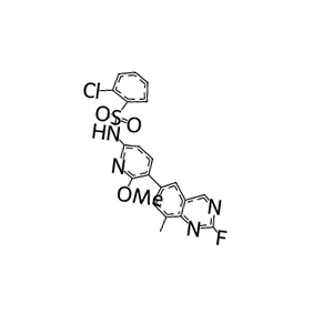 COc1nc(NS(=O)(=O)c2ccccc2Cl)ccc1-c1cc(C)c2nc(F)ncc2c1